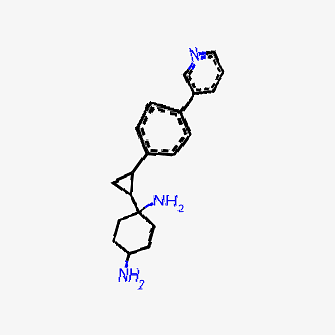 NC1CCC(N)(C2CC2c2ccc(-c3cccnc3)cc2)CC1